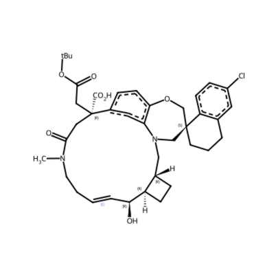 CN1CC/C=C/[C@H](O)[C@@H]2CC[C@H]2CN2C[C@@]3(CCCc4cc(Cl)ccc43)COc3ccc(cc32)[C@@](CC(=O)OC(C)(C)C)(C(=O)O)CC1=O